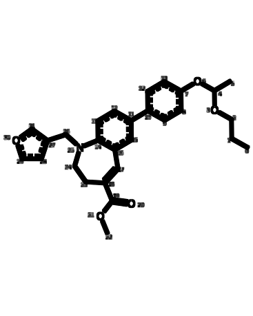 CCCOC(C)Oc1ccc(-c2ccc3c(c2)C=C(C(=O)OC)CCN3Cc2ccoc2)cc1